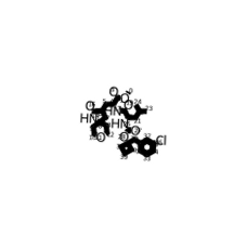 COC(=O)C(CC1CC2(CCOCC2)NC1=O)NC(=O)C(CC(C)C)NC(=O)OC1(Cc2cccc(Cl)c2)CCC1